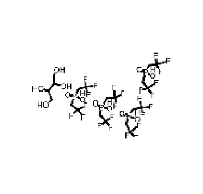 O=P(O)(CC(F)(F)F)CC(F)(F)F.O=P(O)(CC(F)(F)F)CC(F)(F)F.O=P(O)(CC(F)(F)F)CC(F)(F)F.O=P(O)(CC(F)(F)F)CC(F)(F)F.OCC(O)C(O)CO